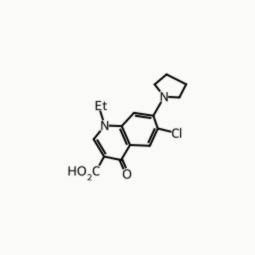 CCn1cc(C(=O)O)c(=O)c2cc(Cl)c(N3CCCC3)cc21